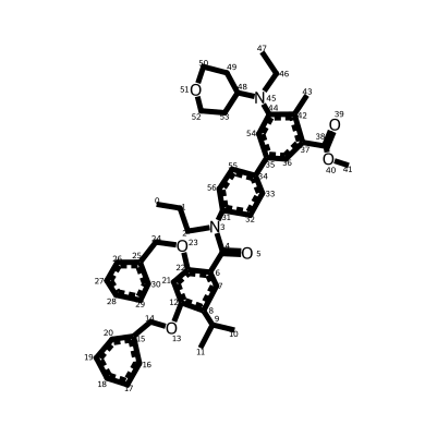 CCCN(C(=O)c1cc(C(C)C)c(OCc2ccccc2)cc1OCc1ccccc1)c1ccc(-c2cc(C(=O)OC)c(C)c(N(CC)C3CCOCC3)c2)cc1